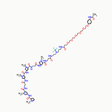 CC(=O)Nc1ccc(OCCOCCOCCOCCOCCOCCC(=O)NCCCN(CCCNC(=O)CCNC(=O)c2cc(NC(=O)CCNC(=O)c3cc(NC(=O)c4cc(NC(=O)CCNC(=O)c5cc(NC(=O)c6cccn6C)cn5C)cn4C)cn3C)cn2C)C(F)(F)F)cc1